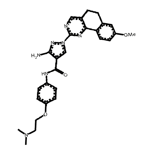 COc1ccc2c(c1)CCc1cnc(-n3cc(C(=O)Nc4ccc(OCCN(C)C)cc4)c(N)n3)nc1-2